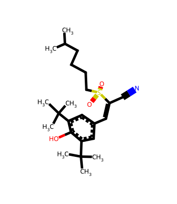 CC(C)CCCCS(=O)(=O)/C(C#N)=C\c1cc(C(C)(C)C)c(O)c(C(C)(C)C)c1